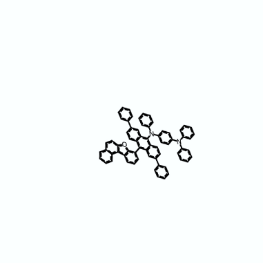 c1ccc(-c2ccc3c(N(c4ccccc4)c4ccc(N(c5ccccc5)c5ccccc5)cc4)c4cc(-c5ccccc5)ccc4c(-c4cccc5c4oc4ccc6ccccc6c45)c3c2)cc1